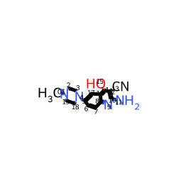 CN1CCN(c2ccc3nc(N)c(C#N)c(O)c3c2)CC1